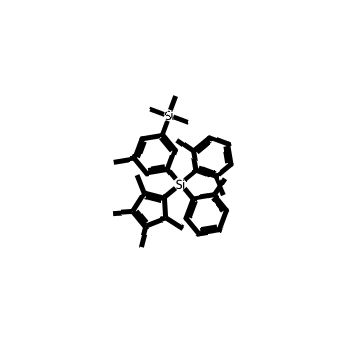 CC1=C(C)C(C)C([Si](c2cc(C)cc([Si](C)(C)C)c2)(c2ccccc2C)c2c(C)cccc2C)=C1C